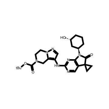 CC(C)(C)OC(=O)N1CCn2ncc(Nc3ncc4c(n3)N([C@@H]3CCC[C@@H](O)C3)C(=O)C43CC3)c2C1